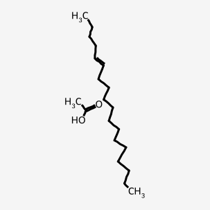 CC(=O)O.CCCCC=CCCCCCCCCCCCC